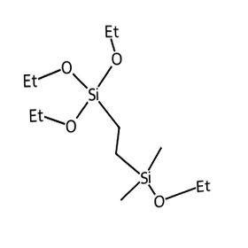 CCO[Si](C)(C)CC[Si](OCC)(OCC)OCC